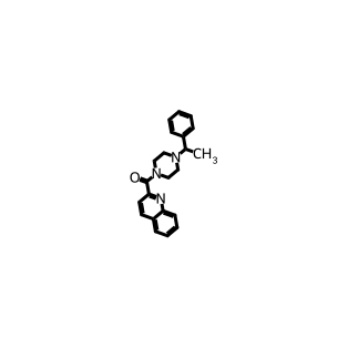 CC(c1ccccc1)N1CCN(C(=O)c2ccc3ccccc3n2)CC1